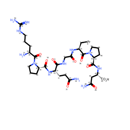 CC(C)C[C@H](NC(=O)CNC(=O)[C@H](CCC(N)=O)NC(=O)[C@@H]1CCCN1C(=O)[C@@H](N)CCCNC(=N)N)C(=O)N1CCC[C@H]1C(=O)N[C@@H](CC(N)=O)C(=O)O